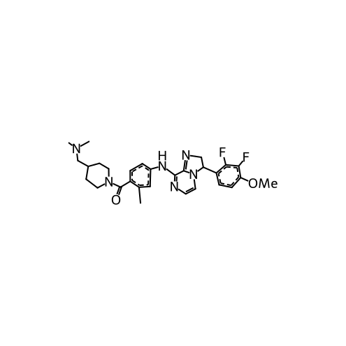 COc1ccc(C2CN=C3C(Nc4ccc(C(=O)N5CCC(CN(C)C)CC5)c(C)c4)=NC=CN32)c(F)c1F